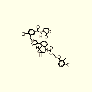 Cc1c(Cl)cccc1OCCOC(=O)N1C[C@@H]2C[C@@H]2c2c(-c3cnn(Cc4cc(C(=O)N[C@H]5CCOC5=O)ccc4Cl)c3)cccc21